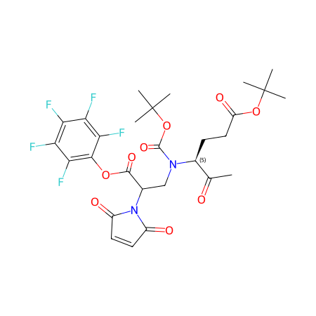 CC(=O)[C@H](CCC(=O)OC(C)(C)C)N(CC(C(=O)Oc1c(F)c(F)c(F)c(F)c1F)N1C(=O)C=CC1=O)C(=O)OC(C)(C)C